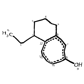 CCC1CCCc2cc(O)ccc21